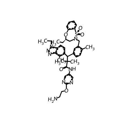 CC[C@@H]1CN(Cc2cc(C(c3ccc4c(nnn4CC)c3C)C(C)(C)C(=O)Nc3cnc(OCCN)nc3)ccc2C)S(=O)(=O)c2ccccc2O1